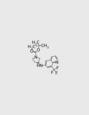 CC(C)(C)OC(=O)N1CC[C@@H](Nc2cc(C(F)(F)F)c3ncccc3c2)C1